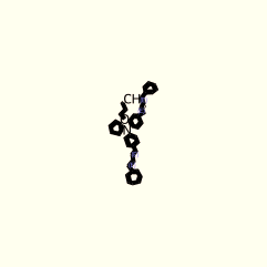 CCCCOC1=C(N(c2ccc(/C=C/C=C/C3=CC=CCC=C3)cc2)c2ccc(/C=C/C=C/c3ccccc3)cc2)CCC=C1